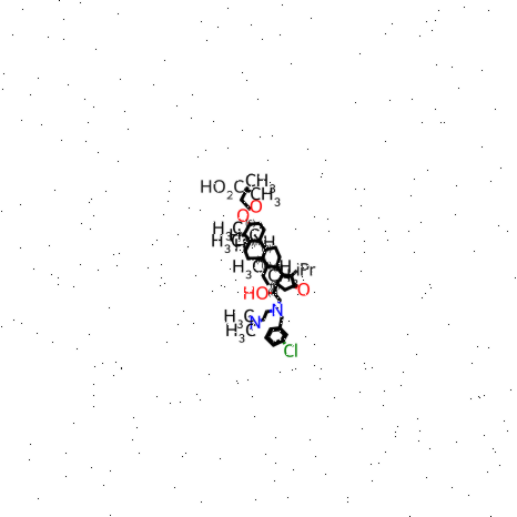 CC(C)C1=C2[C@H]3CC[C@@H]4[C@@]5(C)CC[C@H](OC(=O)CC(C)(C)C(=O)O)C(C)(C)[C@@H]5CC[C@@]4(C)[C@]3(C)CC[C@@]2([C@H](O)CN(CCN(C)C)Cc2cccc(Cl)c2)CC1=O